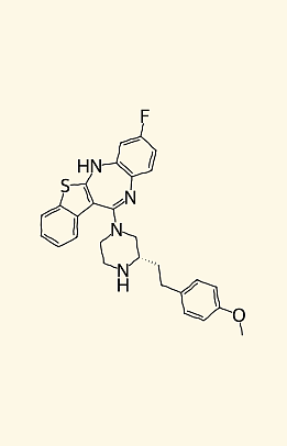 COc1ccc(CC[C@H]2CN(C3=Nc4ccc(F)cc4Nc4sc5ccccc5c43)CCN2)cc1